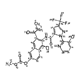 CNC(=O)c1cc2cc(OC(=O)OC)ccc2c(Cl)c1NC(=O)c1cc(C(F)(F)F)nn1-c1ncccc1Cl